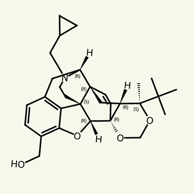 CC(C)(C)[C@@]1(C)OCO[C@]23C=C[C@@]4(C[C@@H]21)[C@H]1Cc2ccc(CO)c5c2[C@@]4(CCN1CC1CC1)[C@H]3O5